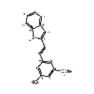 COc1cc(O)cc(C=Cc2cc3ccccc3s2)c1